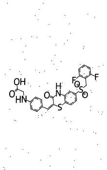 O=C(O)CNc1ccc(/C=C2/Sc3ccc(S(=O)(=O)Cc4c(F)cccc4F)cc3NC2=O)cc1